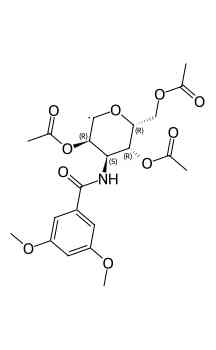 COc1cc(OC)cc(C(=O)N[C@@H]2[C@@H](OC(C)=O)[C@@H](COC(C)=O)O[CH][C@@H]2OC(C)=O)c1